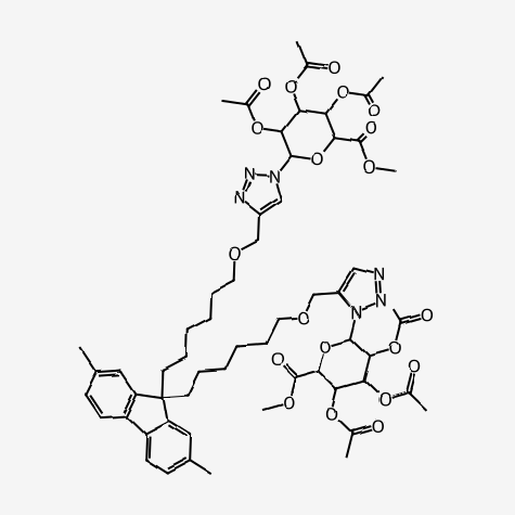 COC(=O)C1OC(n2cc(COCCCCCCC3(CCCCCCOCc4cnnn4C4OC(C(=O)OC)C(OC(C)=O)C(OC(C)=O)C4OC(C)=O)c4cc(C)ccc4-c4ccc(C)cc43)nn2)C(OC(C)=O)C(OC(C)=O)C1OC(C)=O